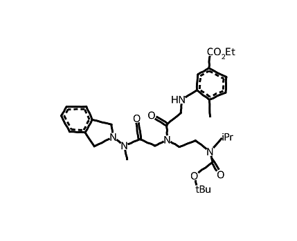 CCOC(=O)c1ccc(C)c(NCC(=O)N(CCN(C(=O)OC(C)(C)C)C(C)C)CC(=O)N(C)N2Cc3ccccc3C2)c1